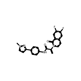 C=C(C(=O)Nc1ccc(-c2ccn(C)n2)cc1)n1ccc2cc(F)c(F)cc2c1=O